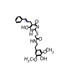 COc1cc(CCNC(=O)CSc2nc(=O)c(C/C=C/c3ccccc3)c(O)[nH]2)cc(OC)c1O